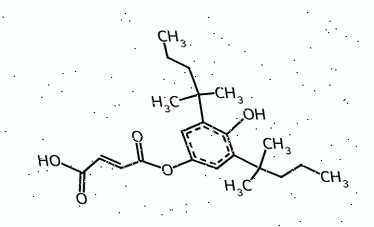 CCCC(C)(C)c1cc(OC(=O)C=CC(=O)O)cc(C(C)(C)CCC)c1O